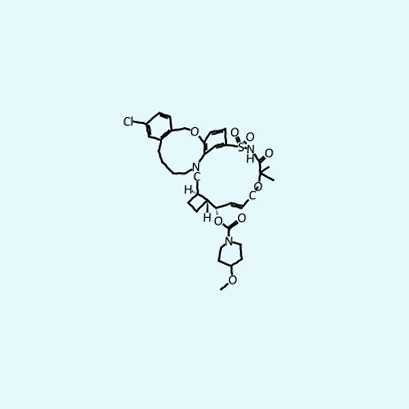 COC1CCN(C(=O)O[C@H]2/C=C/COC(C)(C)C(=O)NS(=O)(=O)c3ccc4c(c3)N(CCCCc3cc(Cl)ccc3CO4)C[C@@H]3CC[C@H]32)CC1